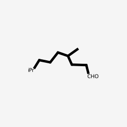 CC(C)CCCC(C)CCC=O